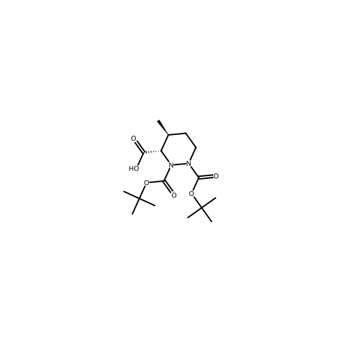 C[C@H]1CCN(C(=O)OC(C)(C)C)N(C(=O)OC(C)(C)C)[C@@H]1C(=O)O